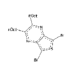 CCCCCCCCc1nc2c(Br)sc(Br)c2nc1CCCCCCCC